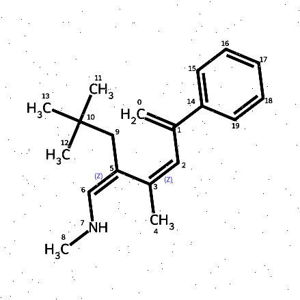 C=C(/C=C(C)\C(=C/NC)CC(C)(C)C)c1ccccc1